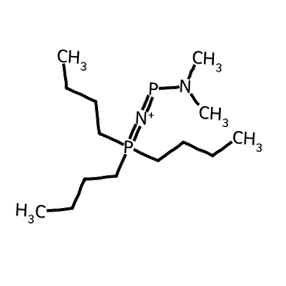 CCCCP(CCCC)(CCCC)=[N+]=PN(C)C